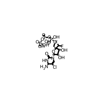 NC1NC(=O)N([C@@H]2O[C@@](COP(=O)(O)OP(=O)(O)OP(=O)(O)O)(C(F)F)[C@@H](O)[C@H]2O)C=C1Cl